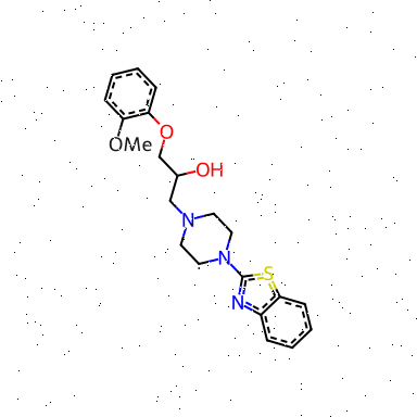 COc1ccccc1OCC(O)CN1C[CH]N(c2nc3ccccc3s2)CC1